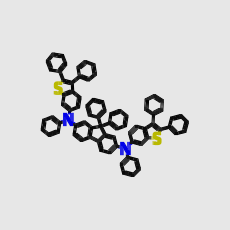 c1ccc(-c2sc3cc(N(c4ccccc4)c4ccc5c(c4)C(c4ccccc4)(c4ccccc4)c4cc(N(c6ccccc6)c6ccc7c(-c8ccccc8)c(-c8ccccc8)sc7c6)ccc4-5)ccc3c2-c2ccccc2)cc1